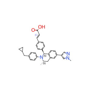 C[C@H]1Cc2cc(-c3cnn(C)c3)ccc2[C@H](c2ccc(/C=C/C(=O)O)cc2)N1c1ccc(CC2CC2)cc1